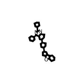 c1ccc(-c2nc(-c3ccccc3)c3cc(-c4ccc(-c5ccc6oc7ccccc7c6c5)cc4)ccc3n2)cc1